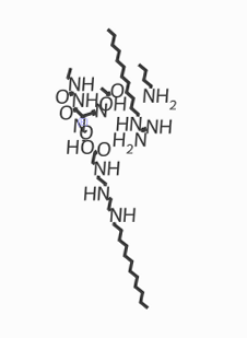 CC(=O)O.CCCCCCCCCCCCNC(=N)N.CCCCCCCCCCCCNCCNCCNCC(=O)O.CCCCN.CCNC(=O)NC(=O)/C(C#N)=N/OC